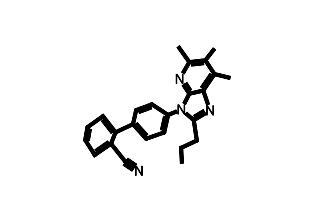 CCCc1nc2c(C)c(C)c(C)nc2n1-c1ccc(-c2ccccc2C#N)cc1